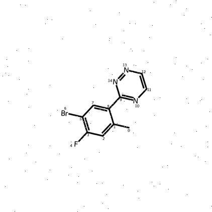 Cc1cc(F)c(Br)cc1-c1nccnn1